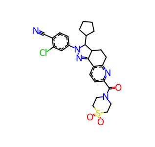 N#Cc1ccc(N2N=C3c4ccc(C(=O)N5CCS(=O)(=O)CC5)nc4CCC3C2C2CCCC2)cc1Cl